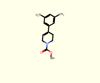 Cc1cc(C2=CCN(C(=O)OC(C)(C)C)CC2)cc([N+](=O)[O-])c1